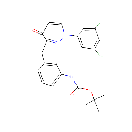 CC(C)(C)OC(=O)Nc1cccc(Cc2nn(-c3cc(F)cc(Cl)c3)ccc2=O)c1